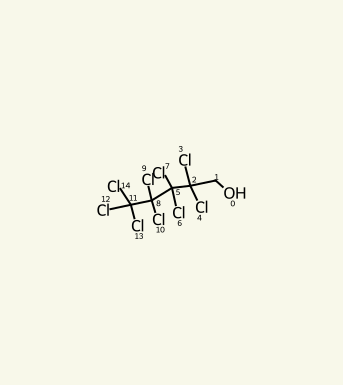 OCC(Cl)(Cl)C(Cl)(Cl)C(Cl)(Cl)C(Cl)(Cl)Cl